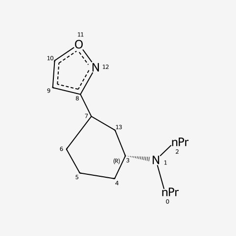 CCCN(CCC)[C@@H]1CCCC(c2ccon2)C1